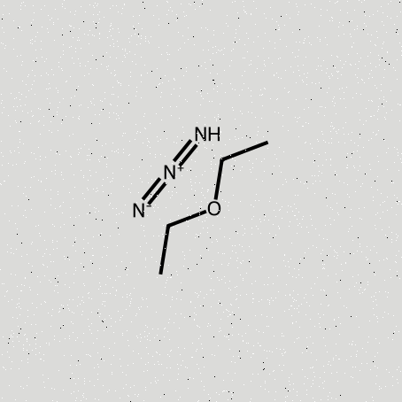 CCOCC.[N-]=[N+]=N